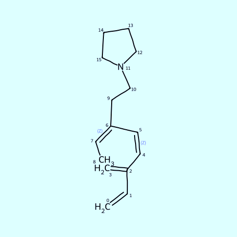 C=CC(=C)/C=C\C(=C/C)CCN1CCCC1